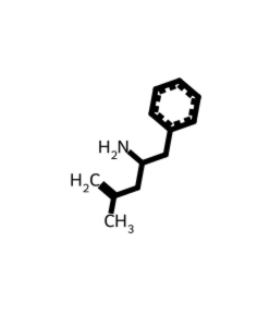 C=C(C)CC(N)Cc1ccccc1